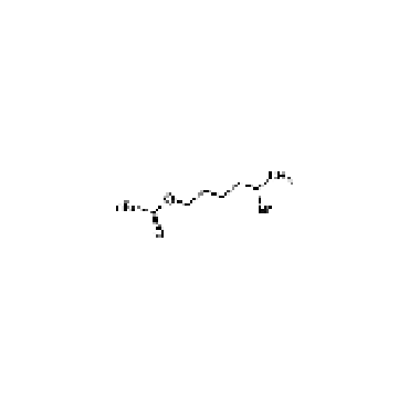 CCCCC(=O)OCCCCC(C)Br